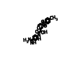 Cc1ccc(S(=O)(=O)N2CCOC(C(O)C(=O)Nc3ccc(C(=N)N)cc3)C2)cc1